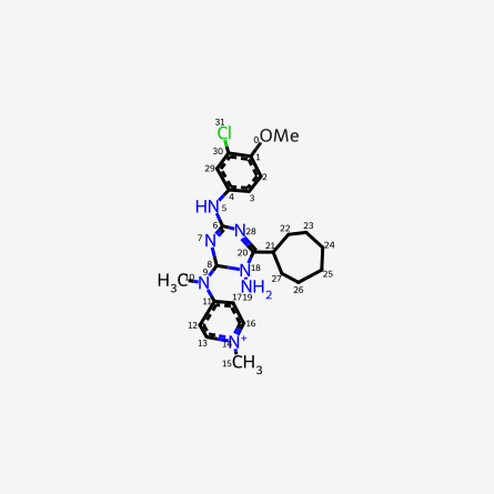 COc1ccc(NC2=NC(N(C)c3cc[n+](C)cc3)N(N)C(C3CCCCCC3)=N2)cc1Cl